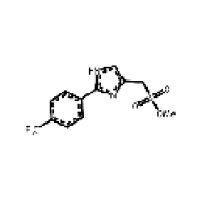 COS(=O)(=O)Cc1c[nH]c(-c2ccc(C(F)(F)F)cc2)n1